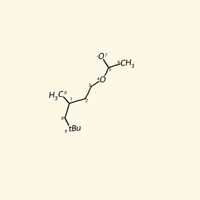 CC(CCOC(C)[O])CC(C)(C)C